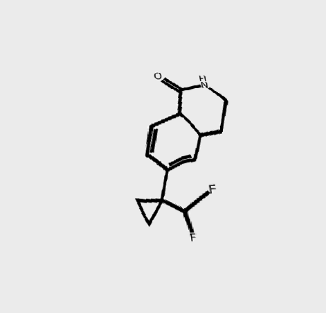 O=C1NCCC2C=C(C3(C(F)F)CC3)C=CC12